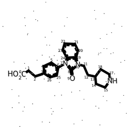 O=C(O)CCc1ccc(-n2c(=O)n(CCC3CCNCC3)c3ccccc32)cc1